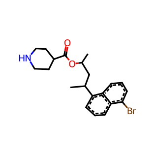 CC(CC(C)c1cccc2c(Br)cccc12)OC(=O)C1CCNCC1